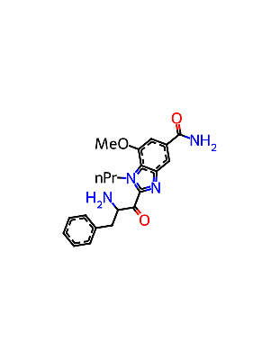 CCCn1c(C(=O)C(N)Cc2ccccc2)nc2cc(C(N)=O)cc(OC)c21